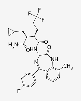 Cc1cccc2c1NC(=O)[C@@H](NC(=O)[C@H](CCC(F)(F)F)[C@H](CC1CC1)C(N)=O)N=C2c1ccc(F)cc1